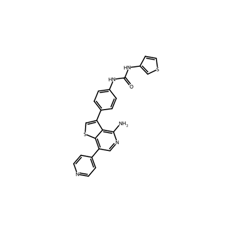 Nc1ncc(-c2ccncc2)c2scc(-c3ccc(NC(=O)Nc4ccsc4)cc3)c12